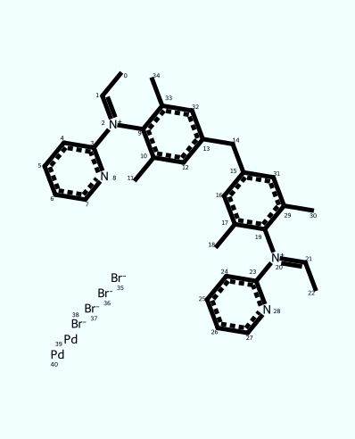 CC=[N+](c1ccccn1)c1c(C)cc(Cc2cc(C)c([N+](=CC)c3ccccn3)c(C)c2)cc1C.[Br-].[Br-].[Br-].[Br-].[Pd].[Pd]